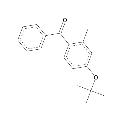 Cc1cc(OC(C)(C)C)ccc1C(=O)c1ccccc1